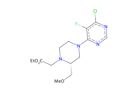 CCOC(=O)CN1CCN(c2ncnc(Cl)c2F)C[C@@H]1COC